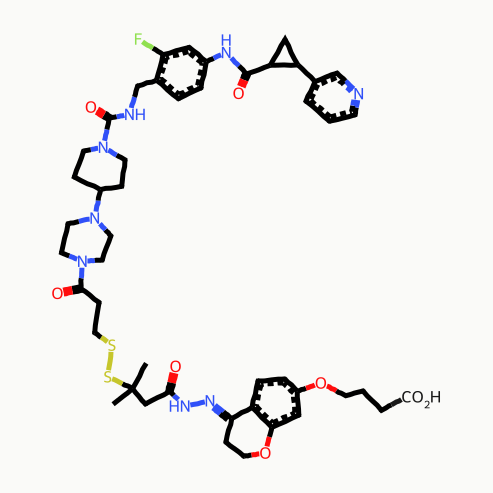 CC(C)(CC(=O)N/N=C1\CCOc2cc(OCCCC(=O)O)ccc21)SSCCC(=O)N1CCN(C2CCN(C(=O)NCc3ccc(NC(=O)C4CC4c4cccnc4)cc3F)CC2)CC1